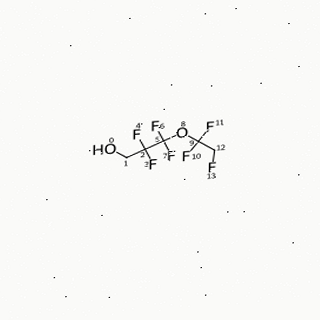 OCC(F)(F)C(F)(F)OC(F)(F)CF